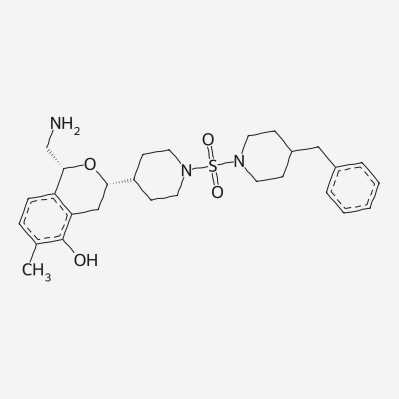 Cc1ccc2c(c1O)C[C@@H](C1CCN(S(=O)(=O)N3CCC(Cc4ccccc4)CC3)CC1)O[C@H]2CN